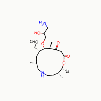 CC[C@H]1OC(=O)CC(=O)[C@H](C)[C@@H](OCC(O)CN)[C@@H](CC=O)C[C@@H](C)CNCC[C@H]1C